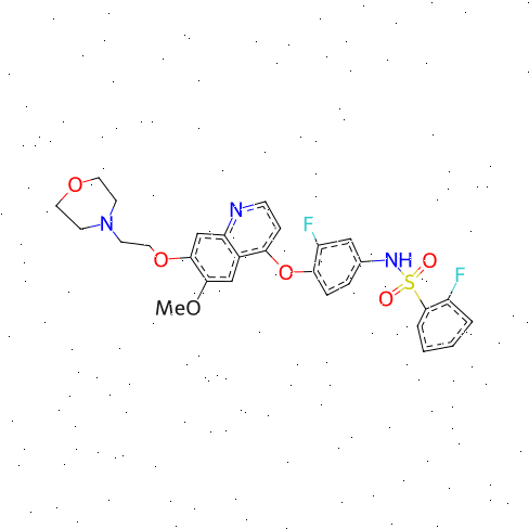 COc1cc2c(Oc3ccc(NS(=O)(=O)c4ccccc4F)cc3F)ccnc2cc1OCCN1CCOCC1